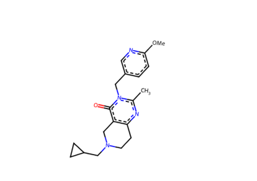 COc1ccc(Cn2c(C)nc3c(c2=O)CN(CC2CC2)CC3)cn1